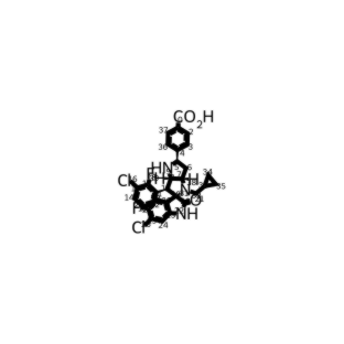 O=C(O)c1ccc([C@H]2C[C@H]3[C@@H](N2)[C@H](c2cccc(Cl)c2F)[C@]2(C(=O)Nc4cc(Cl)c(F)cc42)N3CC2CC2)cc1